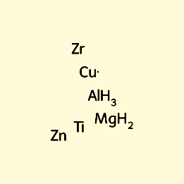 [AlH3].[Cu].[MgH2].[Ti].[Zn].[Zr]